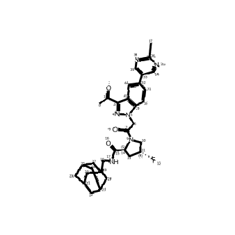 CC(=O)c1nn(CC(=O)N2C[C@H](F)C[C@H]2C(=O)NCC23CC4CC(CC(C4)C2)C3)c2ccc(-c3cnc(C)nc3)cc12